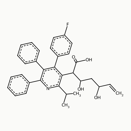 C=CC(O)CC(O)C(C(=O)O)c1c(C(C)C)nc(-c2ccccc2)c(-c2ccccc2)c1-c1ccc(F)cc1